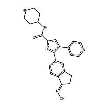 O=C(NC1CCNCC1)c1cc(-c2ccncc2)c(-c2ccc3c(c2)CCC3=NO)o1